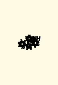 c1ccc(-c2ccc3c4cccc5[nH]c6cccc(c6c54)n23)cc1